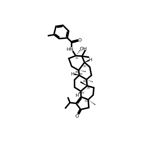 Cc1cccc(C(=O)N[C@]2(O)CC[C@]3(C)[C@H]4CC[C@@H]5C6=C(C(C)C)C(=O)C[C@]6(C)CC[C@@]5(C)[C@]4(C)CC[C@H]3C2(C)C)c1